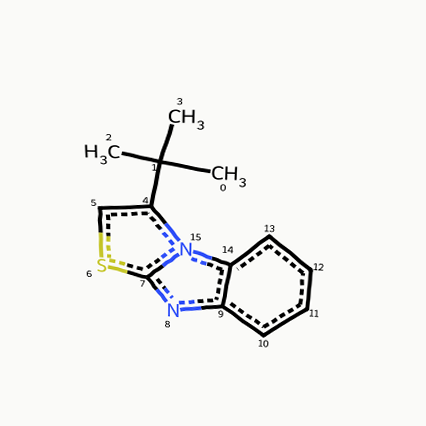 CC(C)(C)c1csc2nc3ccccc3n12